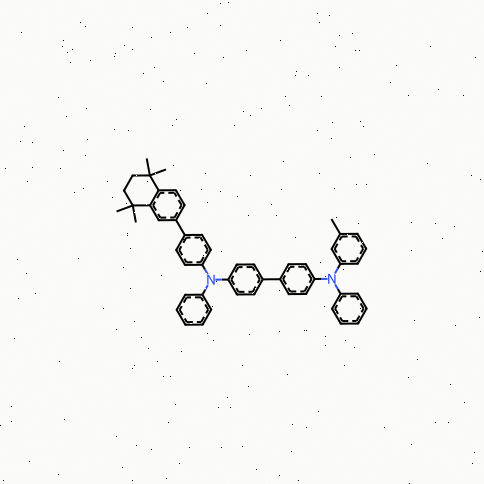 Cc1cccc(N(c2ccccc2)c2ccc(-c3ccc(N(c4ccccc4)c4ccc(-c5ccc6c(c5)C(C)(C)CCC6(C)C)cc4)cc3)cc2)c1